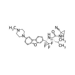 CC(C)C[C@H](N[C@@H](c1ccc2c(c1)oc1ccc(N3CCN(C)CC3)cc12)C(F)(F)F)C(=O)NC1(C#N)CC1